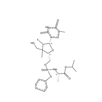 Cc1cn([C@@H]2O[C@H](COP(=O)(N[C@@H](C)C(=O)OC(C)C)Oc3ccccc3)C(C)(CO)C2F)c(=O)[nH]c1=O